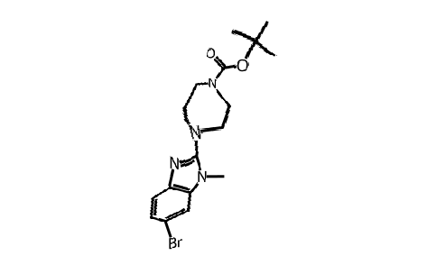 Cn1c(N2CCN(C(=O)OC(C)(C)C)CC2)nc2ccc(Br)cc21